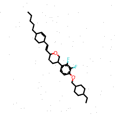 CCCCCC1C=CC(/C=C/C2CCC(c3ccc(OCC4CCC(CC)CC4)c(F)c3F)CO2)CC1